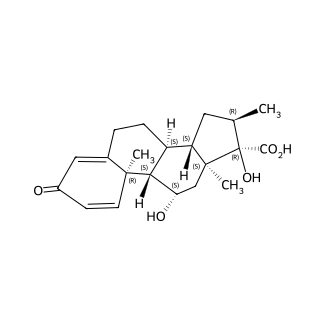 C[C@@H]1C[C@H]2[C@@H]3CCC4=CC(=O)C=C[C@]4(C)[C@H]3[C@@H](O)C[C@]2(C)[C@@]1(O)C(=O)O